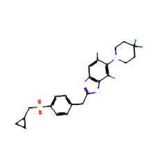 O=S(=O)(CC1CC1)c1ccc(Cc2nc3cc(Cl)c(N4CCC(F)(F)CC4)c(Cl)c3[nH]2)cc1